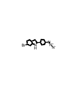 [N-]=[N+]=Nc1ccc(-c2cc3ccc(Br)cc3[nH]2)cc1